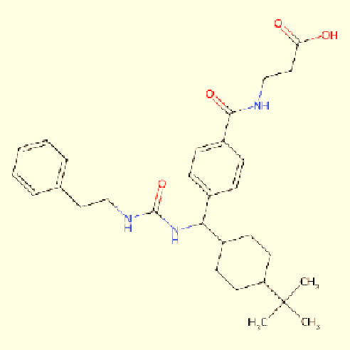 CC(C)(C)C1CCC(C(NC(=O)NCCc2ccccc2)c2ccc(C(=O)NCCC(=O)O)cc2)CC1